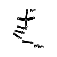 CC(=O)[O-].CC(=O)[O-].CC(=O)[O-].CC(=O)[O-].[O]=[Cr](=[O])([O-])[O-].[Pb+2].[Pb+2].[Pb+2]